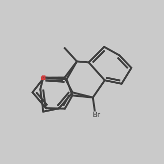 CC12c3ccccc3C(Br)(c3ccccc31)c1ccccc12